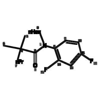 CCCCCCN(C(=O)C(C)(C)CCC)c1ccc(F)cc1F